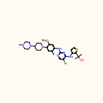 COc1cc(Nc2ncc(Br)c(Nc3ccsc3C(C)(C)O)n2)c(C)cc1N1CCC(N2CCN(C)CC2)CC1